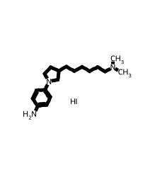 CN(C)CCCCCCC1CCN(c2ccc(N)cc2)C1.I